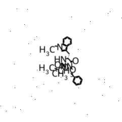 CCn1cc(C[C@@H](NC(=O)OC(C)(C)C)C(=O)NOCc2ccccc2)c2ccccc21